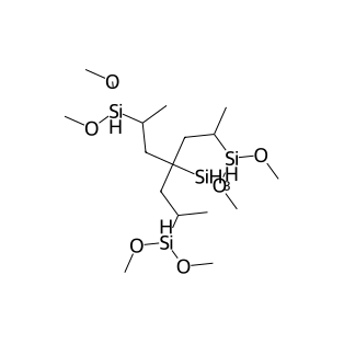 CO[SiH](OC)C(C)CC([SiH3])(CC(C)[SiH](OC)OC)CC(C)[SiH](OC)OC